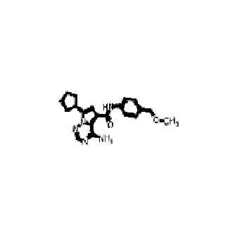 COCc1ccc(NC(=O)c2cc(C3CCCC3)n3ncnc(N)c23)cc1